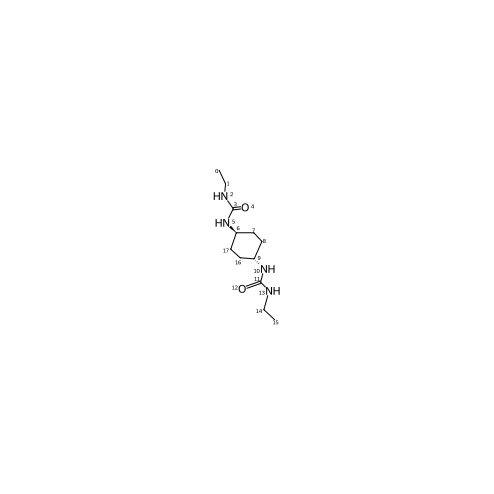 CCNC(=O)N[C@H]1CC[C@H](NC(=O)NCC)CC1